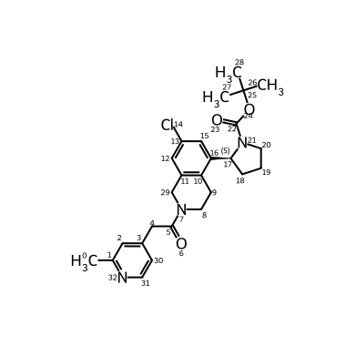 Cc1cc(CC(=O)N2CCc3c(cc(Cl)cc3[C@@H]3CCCN3C(=O)OC(C)(C)C)C2)ccn1